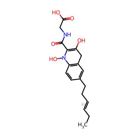 CC/C=C/CCc1ccc2c(c1)CC(O)=C(C(=O)NCC(=O)O)N2O